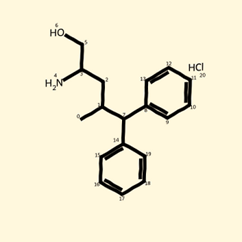 CC(CC(N)CO)C(c1ccccc1)c1ccccc1.Cl